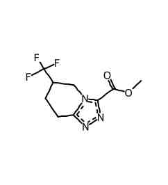 COC(=O)c1nnc2n1CC(C(F)(F)F)CC2